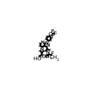 C=C(F)C(=O)N1CC(c2nn(-c3ccc(OC(F)(F)F)cc3)c3nccc(N4CC(C(O)CO)C4)c23)C1